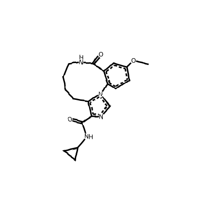 COc1ccc2c(c1)C(=O)NCCCCc1c(C(=O)NC3CC3)ncn1-2